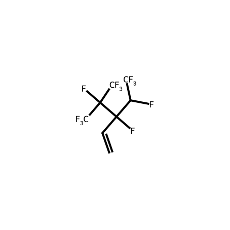 C=CC(F)(C(F)C(F)(F)F)C(F)(C(F)(F)F)C(F)(F)F